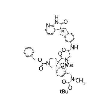 COC1(C(=O)N(CC(=O)Nc2ccc3c(c2)C[C@@]2(C3)C(=O)Nc3ncccc32)Cc2ccccc2CN(C)C(=O)OC(C)(C)C)CCN(C(=O)OCc2ccccc2)CC1